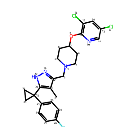 Cc1c(CN2CCC(Oc3ncc(Cl)cc3Cl)CC2)n[nH]c1C1(c2ccc(F)cc2)CC1